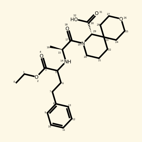 CCOC(=O)C(CCc1ccccc1)N[C@@H](C)C(=O)N1CCCC2(CCOCC2)[C@H]1C(=O)O